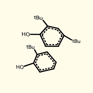 CC(C)(C)c1ccc(O)c(C(C)(C)C)c1.CC(C)(C)c1ccccc1O